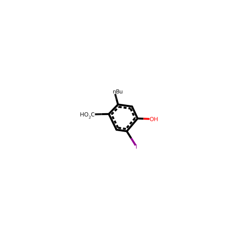 CCCCc1cc(O)c(I)cc1C(=O)O